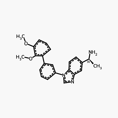 COc1cccc(-c2cccc(-n3cnc4cc([C@H](C)N)ccc43)c2)c1OC